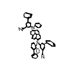 N#Cc1cc(-c2ccccc2)cc(N(c2ccccc2)c2ccc3ccc4c(N(c5cc(C#N)cc(-c6ccccc6)c5)c5cccc6c5oc5ccccc56)ccc5ccc2c3c54)c1